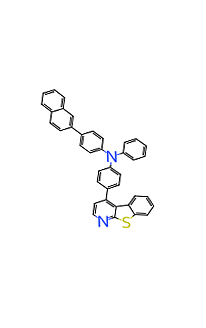 c1ccc(N(c2ccc(-c3ccc4ccccc4c3)cc2)c2ccc(-c3ccnc4sc5ccccc5c34)cc2)cc1